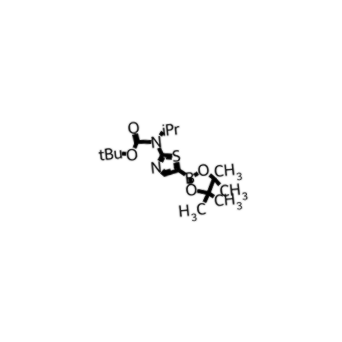 CC(C)N(C(=O)OC(C)(C)C)c1ncc(B2OC(C)(C)C(C)(C)O2)s1